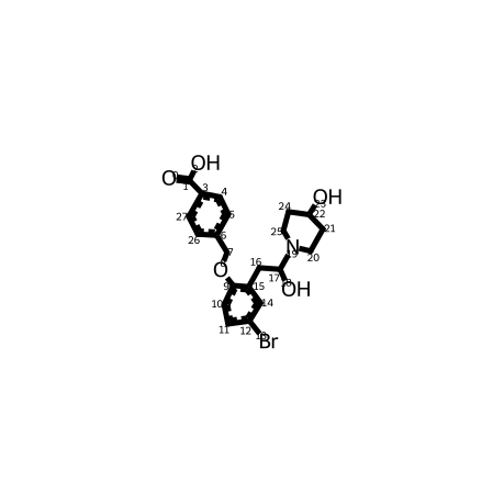 O=C(O)c1ccc(COc2ccc(Br)cc2CC(O)N2CCC(O)CC2)cc1